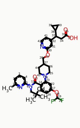 Cc1cccc(N(CC(C)(C)C)C(=O)c2ccc(OC(F)F)cc2N2CCC(COc3cc(C(CC(=O)O)C4CC4)ccn3)CC2)n1